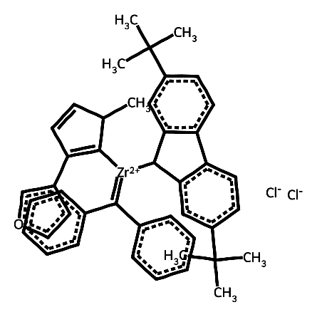 CC1C=CC(c2ccoc2)=[C]1[Zr+2](=[C](c1ccccc1)c1ccccc1)[CH]1c2cc(C(C)(C)C)ccc2-c2ccc(C(C)(C)C)cc21.[Cl-].[Cl-]